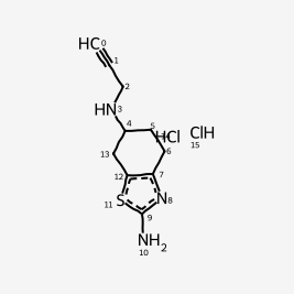 C#CCNC1CCc2nc(N)sc2C1.Cl.Cl